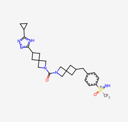 N=[S@@](=O)(c1ccc(CC2CC3(C2)CN(C(=O)N2CC4(CC(c5nnc(C6CC6)[nH]5)C4)C2)C3)cc1)C(F)(F)F